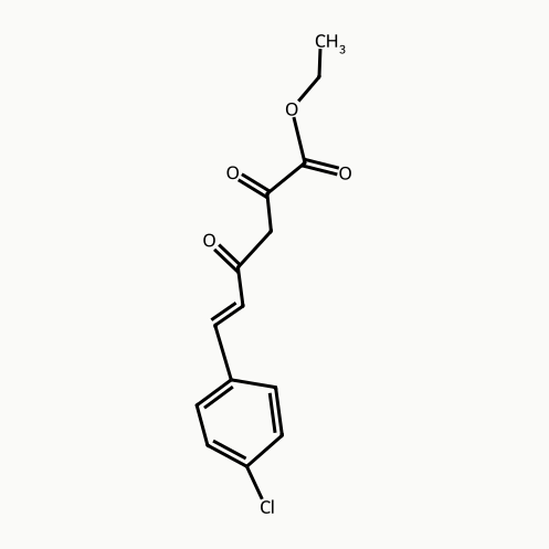 CCOC(=O)C(=O)CC(=O)/C=C/c1ccc(Cl)cc1